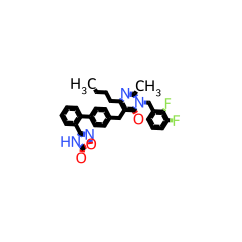 CCCCc1nc(C)n(Cc2cccc(F)c2F)c(=O)c1Cc1ccc(-c2ccccc2-c2noc(=O)[nH]2)cc1